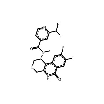 CN(C(=O)c1ccnc(C(F)F)c1)[C@H]1COCc2[nH]c(=O)c3cc(F)c(F)cc3c21